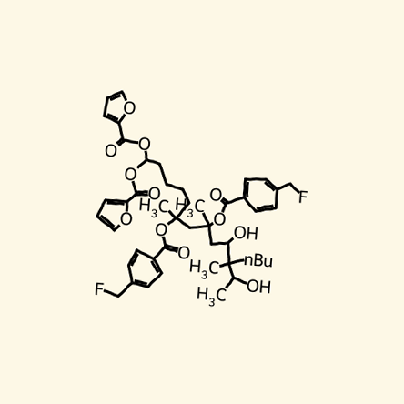 CCCCC(C)(C(C)O)C(O)CC(C)(CC(C)(CCCCC(OC(=O)c1ccco1)OC(=O)c1ccco1)OC(=O)c1ccc(CF)cc1)OC(=O)c1ccc(CF)cc1